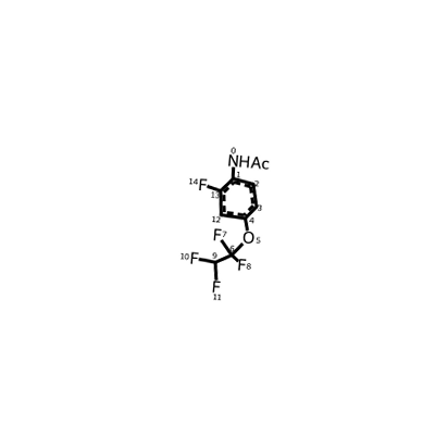 CC(=O)Nc1ccc(OC(F)(F)C(F)F)cc1F